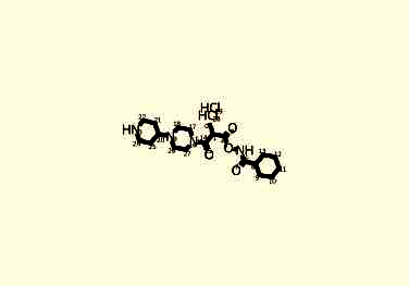 CC(C(=O)ONC(=O)C1CCCCC1)C(=O)N1CCN(C2CCNCC2)CC1.Cl.Cl